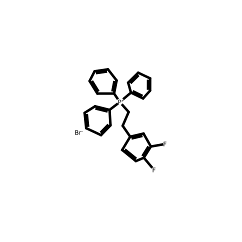 Fc1ccc(CC[P+](c2ccccc2)(c2ccccc2)c2ccccc2)cc1F.[Br-]